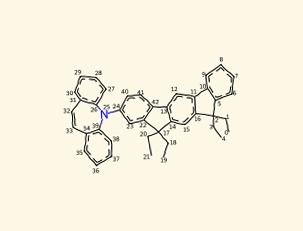 CCC1(CC)c2ccccc2-c2cc3c(cc21)C(CC)(CC)c1cc(N2c4ccccc4C=Cc4ccccc42)ccc1-3